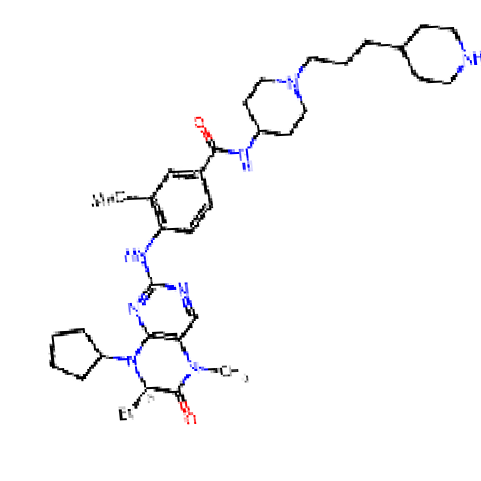 CC[C@@H]1C(=O)N(C)c2cnc(Nc3ccc(C(=O)NC4CCN(CCCC5CCNCC5)CC4)cc3OC)nc2N1C1CCCC1